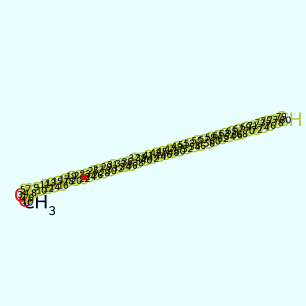 COS(=O)S(=S)(=S)SSSSSSSSSSSSSSSSSSSSSSSSSSSSSSSSSSSSSSSSSSSSSSSSSSSSSSSSSSSSSSSSSSSSSSSSSS